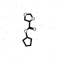 O=C(OC1CCCC1)C1COCO1